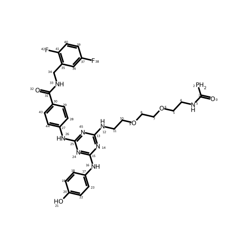 O=C(P)NCCOCCOCCNc1nc(Nc2ccc(O)cc2)nc(Nc2ccc(C(=O)NCc3cc(F)ccc3F)cc2)n1